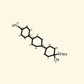 CCCCCCC1(C#N)CCC(C2CCC(C3CCC(CCC)CC3)CC2)CC1